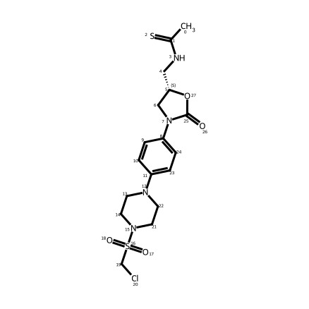 CC(=S)NC[C@H]1CN(c2ccc(N3CCN(S(=O)(=O)CCl)CC3)cc2)C(=O)O1